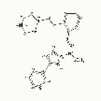 CN(/N=C/c1ccccc1CCN1CCNCC1)c1nc(-c2ccccc2)cs1